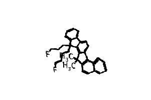 CC1(C)c2ccc3ccccc3c2-c2ccc3c(c21)C(CCCF)(CCCCF)c1ccccc1-3